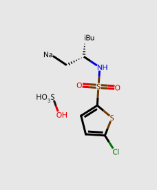 CC[C@@H](C)[C@@H]([CH2][Na])NS(=O)(=O)c1ccc(Cl)s1.O=S(=O)(O)O